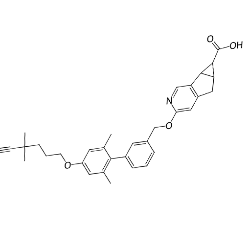 Cc1cc(OCCCC(C)(C)C#N)cc(C)c1-c1cccc(COc2cc3c(cn2)C2C(C3)C2C(=O)O)c1